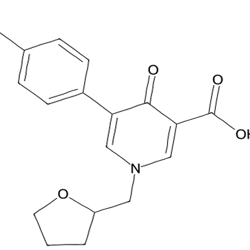 O=C(O)c1cn(CC2CCCO2)cc(-c2ccc(F)cc2)c1=O